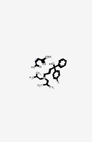 CC(C)CN(CCCC(O)(c1ccccc1)c1ccc(Cl)cc1)CC(C)C.O=C(O)/C=C\C(=O)O